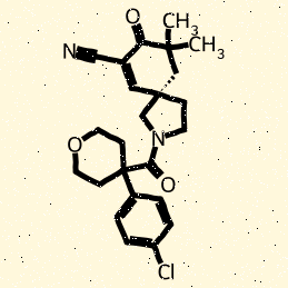 CC1(C)C[C@]2(C=C(C#N)C1=O)CCN(C(=O)C1(c3ccc(Cl)cc3)CCOCC1)C2